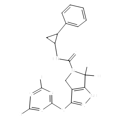 CC1(C)c2[nH]nc(Nc3nc(Cl)nc(Cl)n3)c2CN1C(=O)NC1CC1c1ccccc1